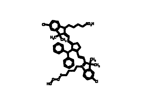 CC1(C)C(/C=C/C2=C(N(c3ccccc3)c3ccccc3)C(=C/C=C3/N(CCCCS(=O)(=O)O)c4ccc(Cl)cc4C3(C)C)/CC2)=[N+](CCCCSOOO)c2ccc(Cl)cc21